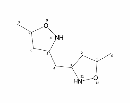 CC1CC(CC2CC(C)ON2)NO1